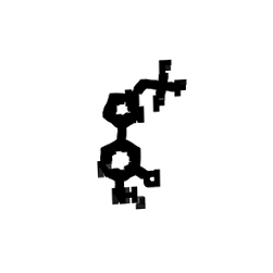 Nc1ncc(-c2ccn(CC(F)(F)F)n2)cc1Cl